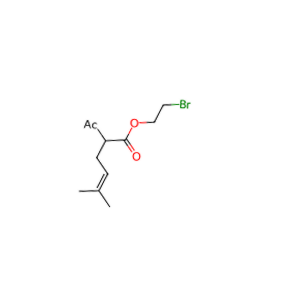 CC(=O)C(CC=C(C)C)C(=O)OCCBr